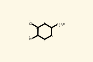 O=C(O)C1CCC(O)C(Cl)C1